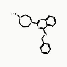 O=C(O)N1CCCN(c2nc(NCc3ccccc3)c3ccccc3n2)CC1